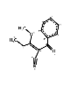 CCC(OC)=C(C#N)C(=O)c1ccccc1